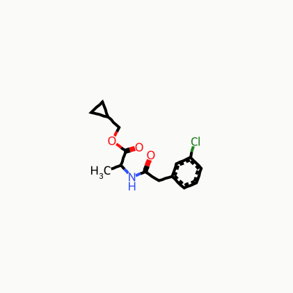 CC(NC(=O)Cc1cccc(Cl)c1)C(=O)OCC1CC1